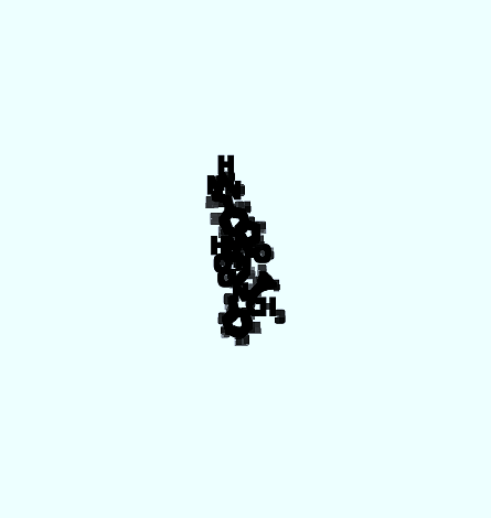 C[C@@H](C1CC1)N(Cc1ccccc1)C(=O)CN1C(=O)NC2(CCc3cc(-c4cn[nH]n4)ccc32)C1=O